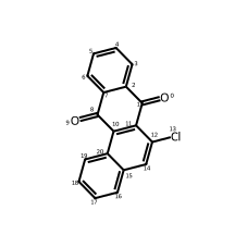 O=C1c2ccccc2C(=O)c2c1c(Cl)cc1ccccc21